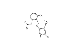 CCC(=O)Oc1cccc(C)c1COc1cc(I)c(CC)cc1C1CC1